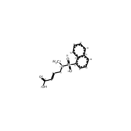 CN(C/C=C/C(=O)O)S(=O)(=O)c1cccc2ccccc12